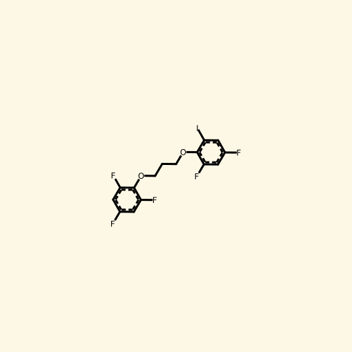 Fc1cc(F)c(OCCCOc2c(F)cc(F)cc2I)c(F)c1